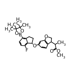 COC(=O)C(C)C1COc2cc(O[C@@H]3CCc4c(B5OC(C)(C)C(C)(C)O5)ccc(F)c43)ccc21